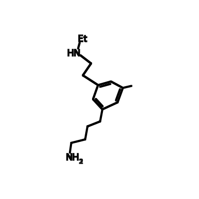 CCNCCc1cc(C)cc(CCCCN)c1